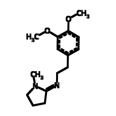 COc1ccc(CC/N=C2/CCCN2C)cc1OC